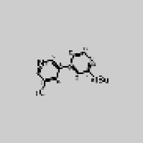 CC(C)(C)c1cc(-c2cncc(Cl)c2)ccn1